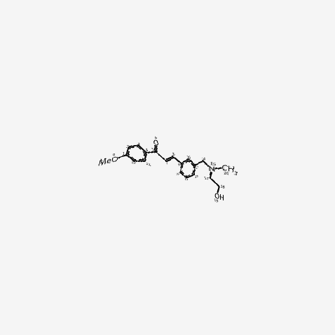 COc1ccc(C(=O)/C=C/c2cccc(CN(C)CCO)c2)cc1